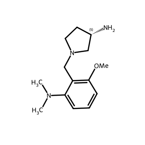 COc1cccc(N(C)C)c1CN1CC[C@H](N)C1